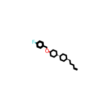 C=CCCC[C@H]1CC[C@H](C2CCC(OCc3ccc(F)cc3)CC2)CC1